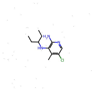 CCC(CC)Nc1c(N)ncc(Cl)c1C